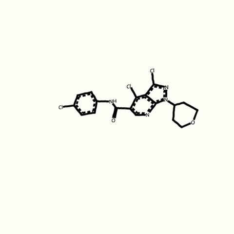 O=C(Nc1ccc(Cl)cc1)c1cnc2c(c(Cl)nn2C2CCOCC2)c1Cl